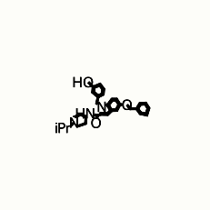 CC(C)N1CCC(NC(=O)c2cc3cc(OCc4ccccc4)ccc3n2Cc2cccc(O)c2)CC1